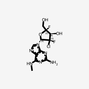 CNc1nc(N)nc2c1ncn2[C@@H]1O[C@](F)(CO)[C@@H](O)[C@]1(F)Cl